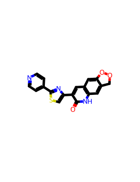 O=c1[nH]c2cc3c(cc2cc1-c1csc(-c2ccncc2)n1)OOC3